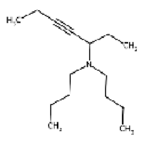 CCC#CC(CC)N(CCCC)CCCC